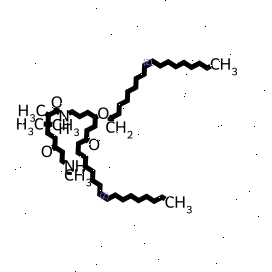 C=C(CCCCCCC/C=C\CCCCCCCC)OC(CCCNC(=O)C(C)C(C)(C)CCC(=O)CCNC)CCC(=O)CCCCCCC/C=C\CCCCCCCC